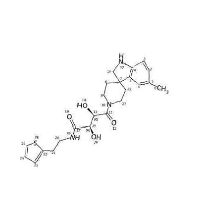 Cc1ccc2c(c1)C1(CCN(C(=O)[C@H](O)[C@@H](O)C(=O)NCCc3cccs3)CC1)CN2